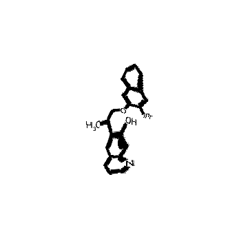 CC(C)c1cc2ccccc2cc1OCC(C)c1cc2cccnc2cc1O